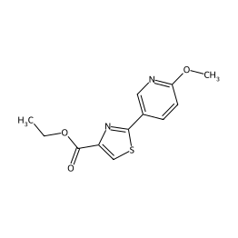 CCOC(=O)c1csc(-c2ccc(OC)nc2)n1